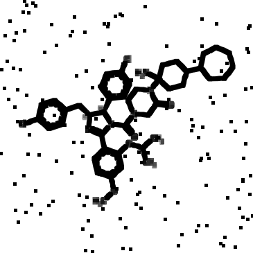 COc1ccc(C2=N[C@@H](Cc3ccc(Cl)cc3)[C@@H](c3ccc(Cl)cc3)N2C(=O)N2CCN(C3(N)CCC(C4CCCCCC4)CC3)C(=O)C2)c(OC(C)C)c1